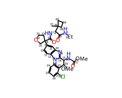 CCNC(=O)[C@H](NC(=O)C1(c2ccc3[nH]c(C(NC(=O)OC)C(OC)c4ccccc4Cl)nc3c2)CCOC1)C1(C)CCC1